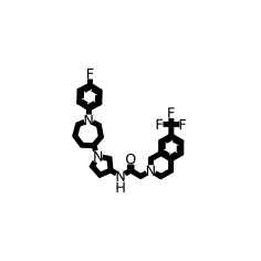 O=C(CN1CCc2ccc(C(F)(F)F)cc2C1)NC1CCN(C2CCCN(c3ccc(F)cc3)CC2)C1